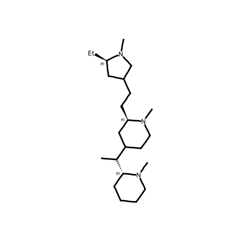 CC[C@@H]1CC(CC[C@@H]2CC(C(C)[C@H]3CCCCN3C)CCN2C)CN1C